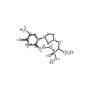 CCOC(=O)C(O[C@@H]1CC[C@H](n2cc(C)c(=O)[nH]c2=O)C1)P(=O)(OCC)OCC